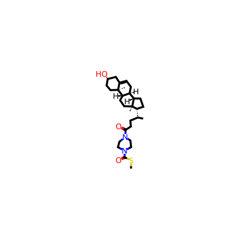 CSC(=O)N1CCN(C(=O)CCC(C)[C@H]2CC[C@H]3[C@@H]4CC=C5C[C@@H](O)CC[C@]5(C)[C@H]4CC[C@]23C)CC1